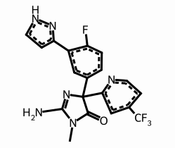 CN1C(=O)C(c2ccc(F)c(-c3cc[nH]n3)c2)(c2cc(C(F)(F)F)ccn2)N=C1N